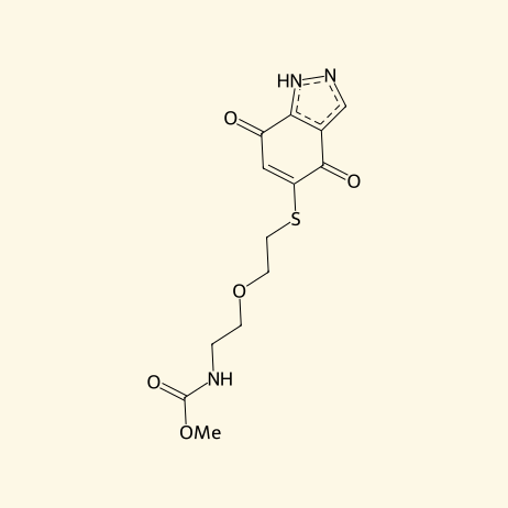 COC(=O)NCCOCCSC1=CC(=O)c2[nH]ncc2C1=O